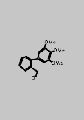 COc1cc(-c2ccccc2CCl)cc(OC)c1OC